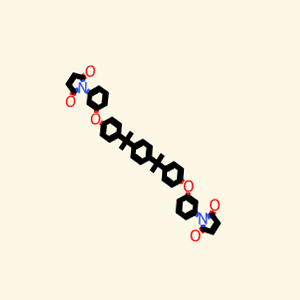 CC(C)(c1ccc(Oc2cccc(N3C(=O)C=CC3=O)c2)cc1)c1ccc(C(C)(C)c2ccc(Oc3cccc(N4C(=O)C=CC4=O)c3)cc2)cc1